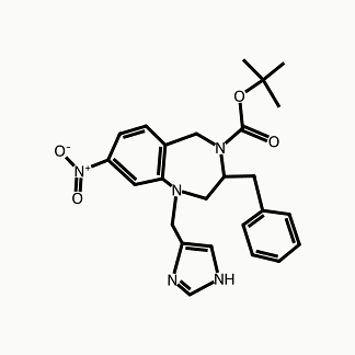 CC(C)(C)OC(=O)N1Cc2ccc([N+](=O)[O-])cc2N(Cc2c[nH]cn2)CC1Cc1ccccc1